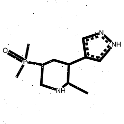 CC1NCC(P(C)(C)=O)CC1c1cn[nH]c1